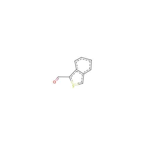 O=Cc1scc2ccccc12